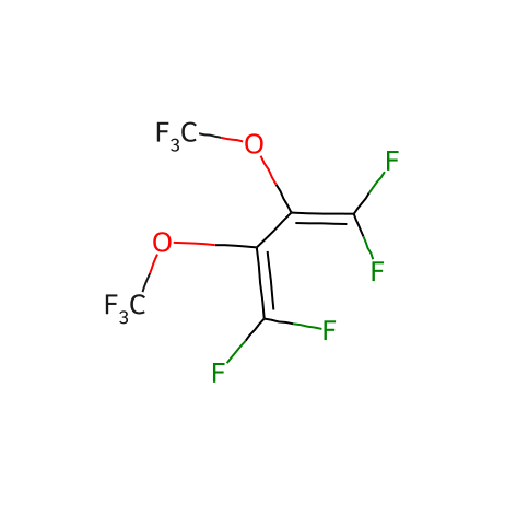 FC(F)=C(OC(F)(F)F)C(OC(F)(F)F)=C(F)F